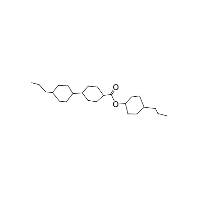 CCCC1CCC(OC(=O)C2CCC(C3CCC(CCC)CC3)CC2)CC1